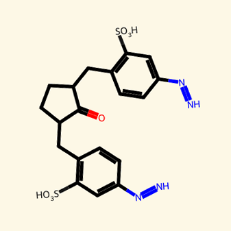 N=Nc1ccc(CC2CCC(Cc3ccc(N=N)cc3S(=O)(=O)O)C2=O)c(S(=O)(=O)O)c1